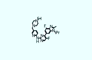 Cc1nc2c(F)cc(-c3nc(Nc4ccc(CN5CCN(SI)CC5)cn4)ncc3F)cc2n1C(C)C